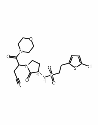 N#CCC(C(=O)N1CCOCC1)N1CC[C@H](NS(=O)(=O)CCc2ccc(Cl)s2)C1=O